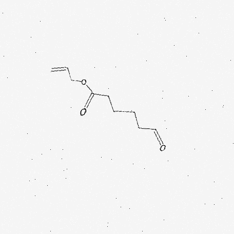 C=CCOC(=O)CCCCC=O